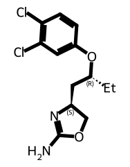 CC[C@H](C[C@H]1COC(N)=N1)Oc1ccc(Cl)c(Cl)c1